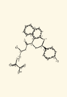 CCN(CC)CC(=O)N1C[C@H](c2ccc(Cl)cc2)Sc2ccc3ccccc3c21.O=C(O)C(=O)O